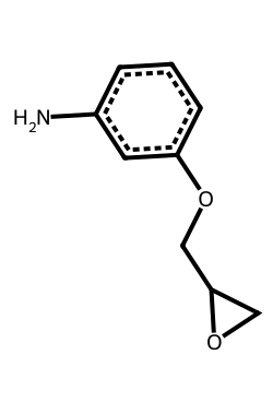 Nc1cccc(OCC2CO2)c1